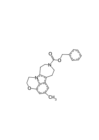 Cc1cc2c3c(c1)c1c(n3CCO2)CCN(C(=O)OCc2ccccc2)CC1